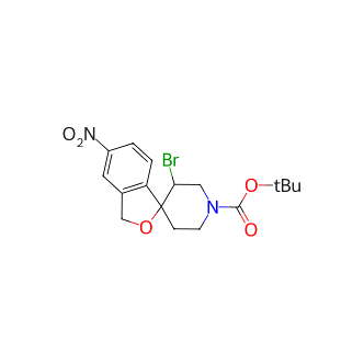 CC(C)(C)OC(=O)N1CCC2(OCc3cc([N+](=O)[O-])ccc32)C(Br)C1